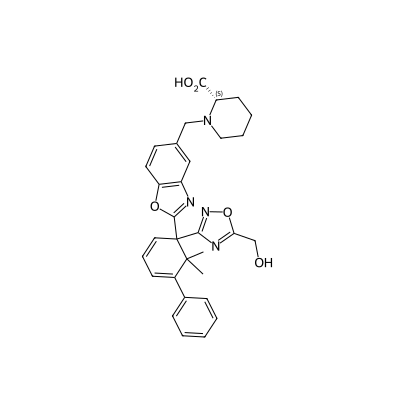 CC1(C)C(c2ccccc2)=CC=CC1(c1noc(CO)n1)c1nc2cc(CN3CCCC[C@H]3C(=O)O)ccc2o1